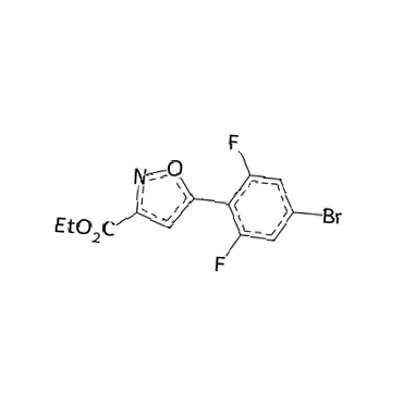 CCOC(=O)c1cc(-c2c(F)cc(Br)cc2F)on1